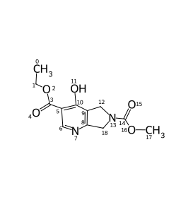 CCOC(=O)c1cnc2c(c1O)CN(C(=O)OC)C2